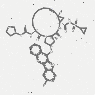 O=C(N[C@H]1CCCCC/C=C\[C@@H]2C[C@@]2(C(=O)NS(=O)(=O)C2CC2)NC(=O)[C@@H]2C[C@@H](Oc3c4ccccc4nc4c3oc3ccc(F)cc34)CN2C1=O)OC1CCCC1